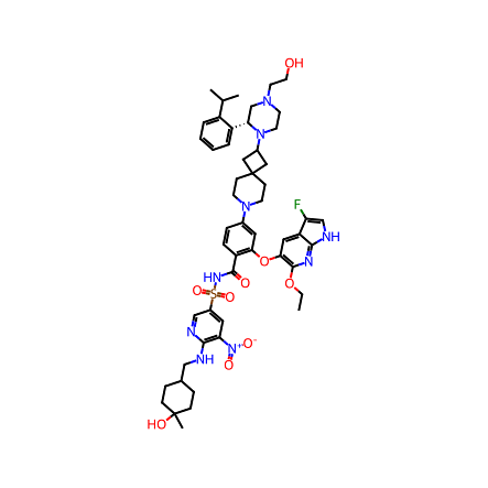 CCOc1nc2[nH]cc(F)c2cc1Oc1cc(N2CCC3(CC2)CC(N2CCN(CCO)C[C@H]2c2ccccc2C(C)C)C3)ccc1C(=O)NS(=O)(=O)c1cnc(NCC2CCC(C)(O)CC2)c([N+](=O)[O-])c1